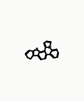 C1=Cc2sc3c(ccc4c5ccccc5n5cccc5c43)c2CC1